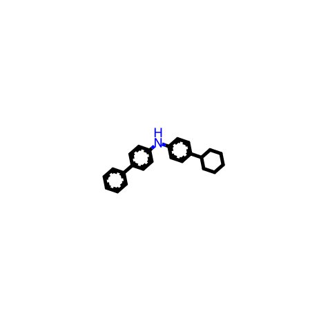 c1ccc(-c2ccc(Nc3ccc(C4CCCCC4)cc3)cc2)cc1